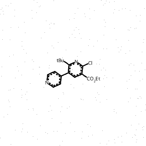 CCOC(=O)c1cc(-c2ccncc2)c(C(C)(C)C)nc1Cl